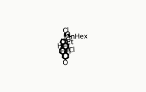 CCCCCCC(=O)O[C@@]1(C#CCl)CC[C@H]2[C@@H]3CCC4=CC(=O)CC[C@@H]4[C@H]3[C@@H](Cl)C[C@@]21CC